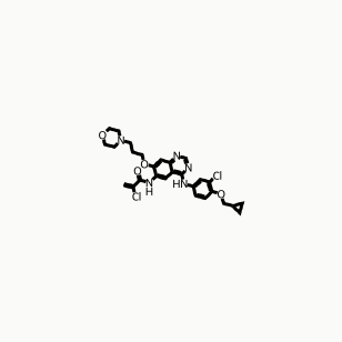 C=C(Cl)C(=O)Nc1cc2c(Nc3ccc(OCC4CC4)c(Cl)c3)ncnc2cc1OCCCN1CCOCC1